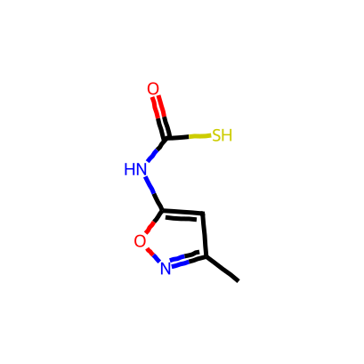 Cc1cc(NC(=O)S)on1